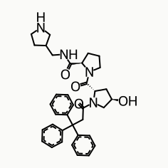 O=C(NCC1CCNC1)[C@H]1CCCN1C(=O)[C@@H]1C[C@@H](O)CN1C(=O)CC(c1ccccc1)(c1ccccc1)c1ccccc1